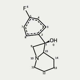 O[C@]1(c2ccc(F)cc2)CN2CCCCC21